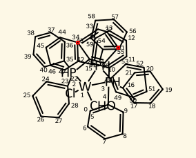 O=[CH][W]([Cl])([PH](c1ccccc1)(c1ccccc1)c1ccccc1)([PH](c1ccccc1)(c1ccccc1)c1ccccc1)[PH](c1ccccc1)(c1ccccc1)c1ccccc1